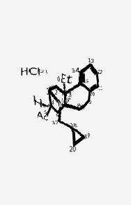 CC[C@]12CC3[C@@H](C(C)=O)CC1C(Cc1ccccc12)N3CC1CC1.Cl